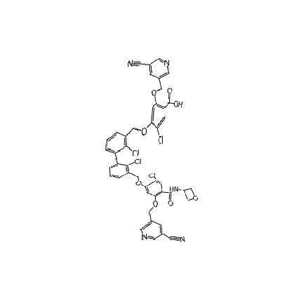 N#Cc1cncc(COc2cc(OCc3cccc(-c4cccc(COc5cc(OCc6cncc(C#N)c6)c(C(=O)NC6COC6)cc5Cl)c4Cl)c3Cl)c(Cl)cc2C(=O)O)c1